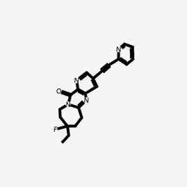 CCC1(F)CCc2nc3cc(C#Cc4ccccn4)cnc3c(=O)n2CC1